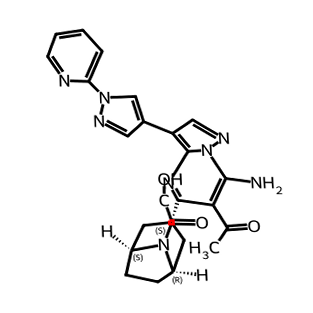 CC(=O)c1c([C@@H]2C[C@H]3CC[C@@H](C2)N3C(=O)CO)nc2c(-c3cnn(-c4ccccn4)c3)cnn2c1N